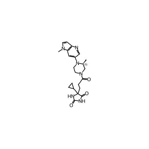 C[C@H]1CN(C(=O)CCC2(C3CC3)NC(=O)NC2=O)CCN1c1cnc2ccn(C)c2c1